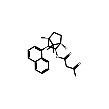 CC(=O)CC(=O)O[C@@H]1[C@H]2CC[C@@](C)([C@@H]1c1cccc3ccccc13)C2(C)C